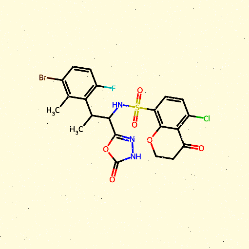 Cc1c(Br)ccc(F)c1C(C)C(NS(=O)(=O)c1ccc(Cl)c2c1OCCC2=O)c1n[nH]c(=O)o1